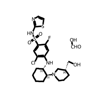 O=CO.O=S(=O)(Nc1nccs1)c1cc(Cl)c(N[C@H]2CCCC[C@@H]2N2CCC[C@@H](CO)C2)cc1F